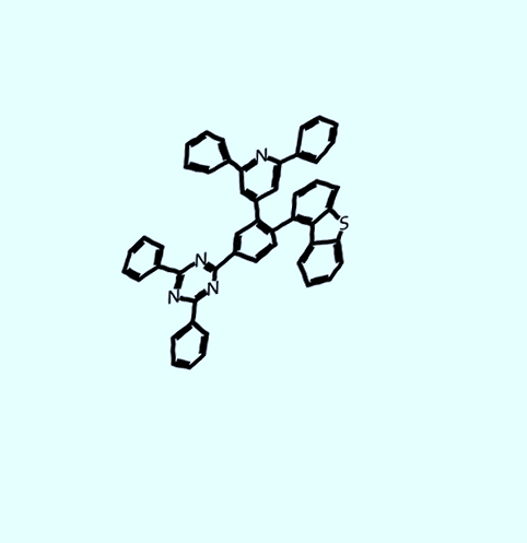 c1ccc(-c2cc(-c3cc(-c4nc(-c5ccccc5)nc(-c5ccccc5)n4)ccc3-c3cccc4sc5ccccc5c34)cc(-c3ccccc3)n2)cc1